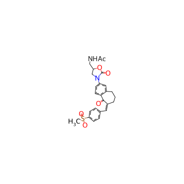 CC(=O)NCC1CN(c2ccc3c(c2)CCC/C(=C/c2ccc(S(C)(=O)=O)cc2)C3=O)C(=O)O1